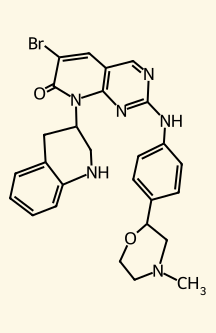 CN1CCOC(c2ccc(Nc3ncc4cc(Br)c(=O)n(C5CNc6ccccc6C5)c4n3)cc2)C1